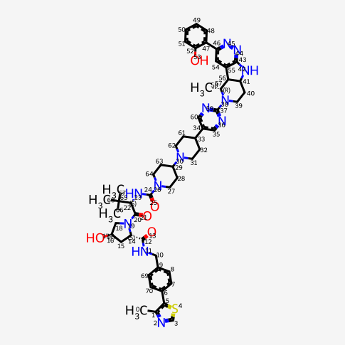 Cc1ncsc1-c1ccc(CNC(=O)[C@@H]2C[C@@H](O)CN2C(=O)[C@@H](NC(=O)N2CCC(N3CCC(c4cnc(N5CCC6Nc7nnc(-c8ccccc8O)cc7C6[C@H]5C)nc4)CC3)CC2)C(C)(C)C)cc1